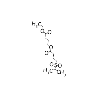 CCOC(=O)CCCOC(=O)CCCS(=O)(=O)C(C)C